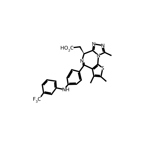 Cc1sc2c(c1C)C(c1ccc(Nc3cccc(C(F)(F)F)c3)cc1)=N[C@@H](CC(=O)O)c1nnc(C)n1-2